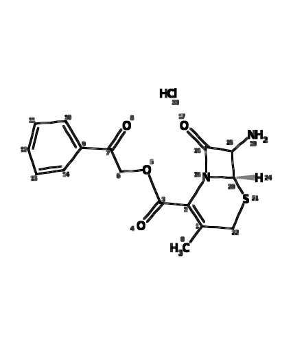 CC1=C(C(=O)OCC(=O)c2ccccc2)N2C(=O)C(N)[C@H]2SC1.Cl